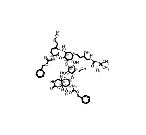 C[C@H]1C[C@@H](CCC(O)CNC(=O)OC(C)(C)C)[C@H](O)[C@@H](O[C@@H]2O[C@H](CO)[C@@H](O[C@H]3O[C@H]4CNC(=O)O[C@H]4[C@H](O)[C@H]3NC(=O)OCc3ccccc3)[C@H]2O)[C@@H]1O[C@H]1OC(CN=[N+]=[N-])=CC[C@H]1NC(=O)OCc1ccccc1